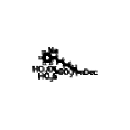 CCCCCCCCCCCCCCCCCCc1cccc[c]1[Na].O=C(O)CC(C(=O)O)S(=O)(=O)O